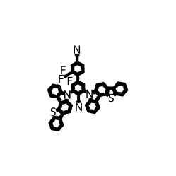 N#Cc1ccc(-c2cc(-n3c4ccccc4c4c5sc6ccccc6c5ccc43)c(C#N)c(-n3c4ccccc4c4c5sc6ccccc6c5ccc43)c2)c(C(F)(F)F)c1